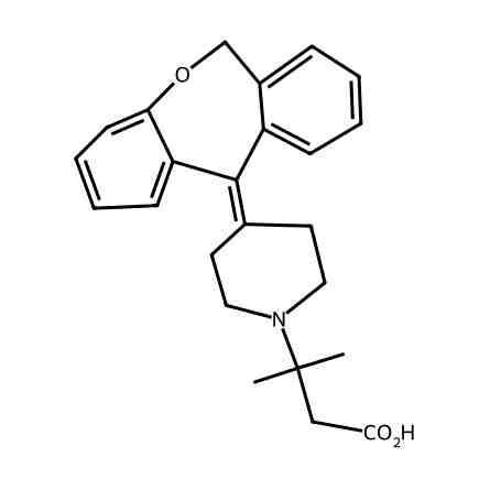 CC(C)(CC(=O)O)N1CCC(=C2c3ccccc3COc3ccccc32)CC1